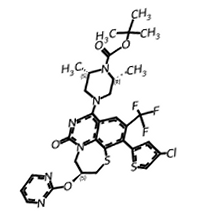 C[C@@H]1CN(c2nc(=O)n3c4c(c(-c5cc(Cl)cs5)c(C(F)(F)F)cc24)SC[C@@H](Oc2ncccn2)C3)C[C@H](C)N1C(=O)OC(C)(C)C